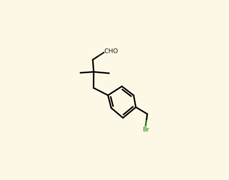 CC(C)(CC=O)Cc1ccc(CBr)cc1